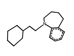 c1ccc2c(c1)CCCCN2CCC1CCCCC1